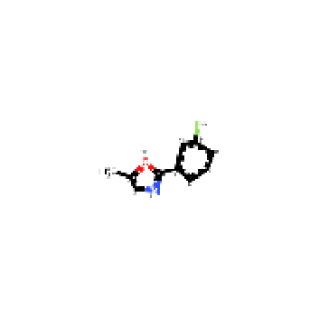 Cc1cnc(-c2cccc(F)c2)o1